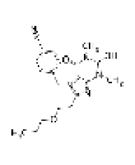 CCCOCCc1nc2c(n1Cc1ccc(C#N)cc1)C(=O)N(C)C(O)N2C